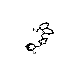 Oc1cccc2c1N(Cc1ccc(Sc3ccccc3Cl)s1)C=CC2